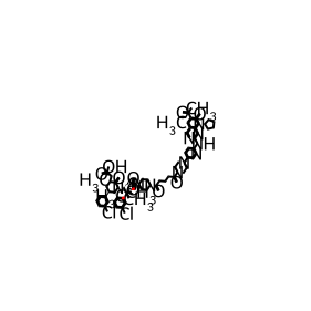 CC(=O)c1c(C)c2cnc(Nc3ccc(N4CCN(C(=O)CCCC(=O)N5CCN(S(=O)(=O)C[C@@H](N6C(=O)[C@@](C)(CC(=O)O)C[C@H](c7cccc(Cl)c7)[C@H]6c6ccc(Cl)cc6)C(C)(C)C)CC5)CC4)cn3)nc2n(C2CCCC2)c1=O